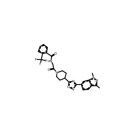 Cc1nn(C)c2cc(-c3noc(C4CCN(C(=O)CNC(=O)c5ccccc5C(F)(F)F)CC4)n3)ccc12